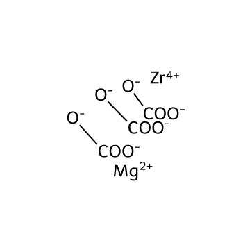 O=C([O-])[O-].O=C([O-])[O-].O=C([O-])[O-].[Mg+2].[Zr+4]